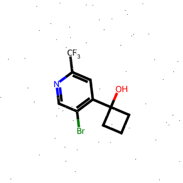 OC1(c2cc(C(F)(F)F)ncc2Br)CCC1